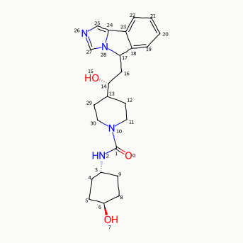 O=C(N[C@H]1CC[C@H](O)CC1)N1CCC([C@H](O)CC2c3ccccc3-c3cncn32)CC1